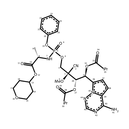 CO[C@](C#N)(COP(=O)(N[C@@H](C)C(=O)OC1CCOCC1)Oc1ccccc1)[C@@H](OC(=O)C(C)C)[C@@H](OC(=O)C(C)C)c1ccc2c(N)ncnn12